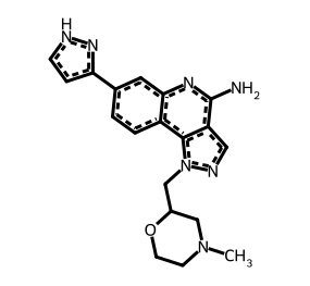 CN1CCOC(Cn2ncc3c(N)nc4cc(-c5cc[nH]n5)ccc4c32)C1